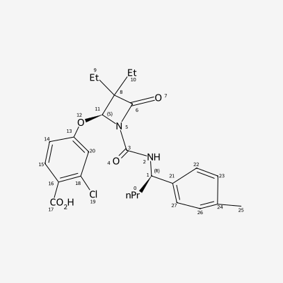 CCC[C@@H](NC(=O)N1C(=O)C(CC)(CC)[C@@H]1Oc1ccc(C(=O)O)c(Cl)c1)c1ccc(C)cc1